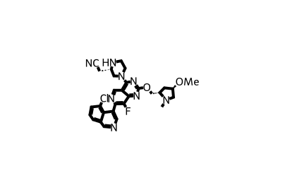 CO[C@@H]1C[C@@H](COc2nc(N3CCN[C@@H](CC#N)C3)c3cnc(-c4cncc5cccc(Cl)c45)c(F)c3n2)N(C)C1